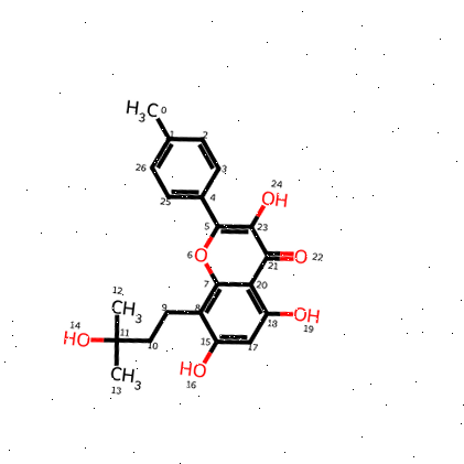 Cc1ccc(-c2oc3c(CCC(C)(C)O)c(O)cc(O)c3c(=O)c2O)cc1